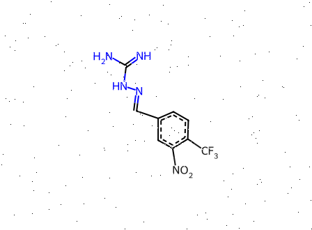 N=C(N)N/N=C/c1ccc(C(F)(F)F)c([N+](=O)[O-])c1